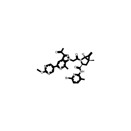 C=C1[C@H]2N(C(=O)Cn3nc(C(C)=O)c4cc(-c5cnc(OC)nc5)nc(C)c43)[C@H](C(=O)Nc3nc(Br)ccc3C)C[C@@]12C